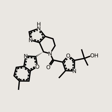 Cc1ccc2nc([C@@H]3c4nc[nH]c4CCN3C(=O)c3oc(C(C)(C)O)nc3C)oc2c1